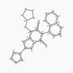 O=c1c2sc(-c3ncco3)cc2n(CC2CCCC2)c(=O)n1-c1cncc2ccccc12